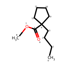 CCCCC1(C(=O)OC)CCCC1